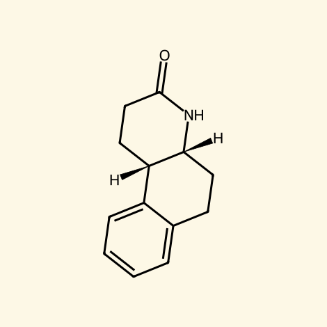 O=C1CC[C@H]2c3ccccc3CC[C@H]2N1